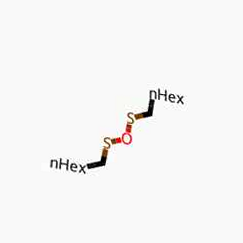 CCCCCCCSOSCCCCCCC